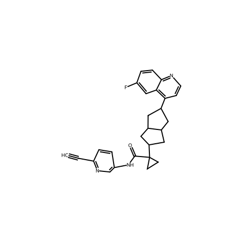 C#Cc1ccc(NC(=O)C2(C3CC4CC(c5ccnc6ccc(F)cc56)CC4C3)CC2)cn1